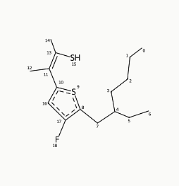 CCCCC(CC)Cc1sc(/C(C)=C(/C)S)cc1F